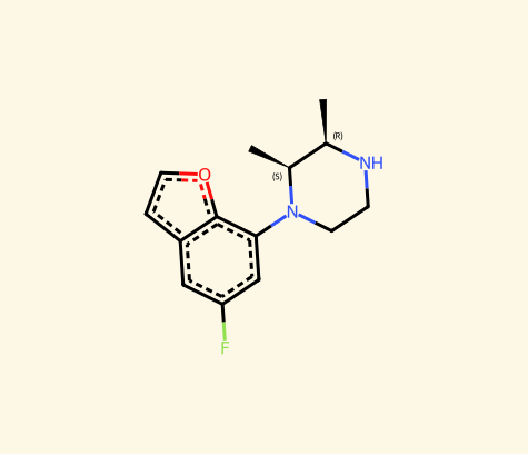 C[C@H]1NCCN(c2cc(F)cc3ccoc23)[C@H]1C